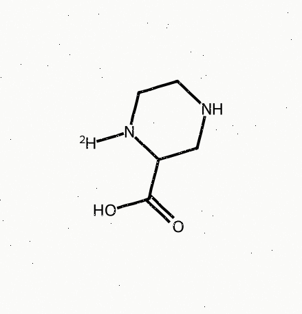 [2H]N1CCNCC1C(=O)O